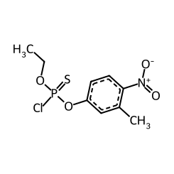 CCOP(=S)(Cl)Oc1ccc([N+](=O)[O-])c(C)c1